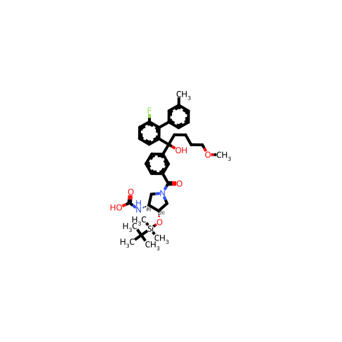 COCCCCC(O)(c1cccc(C(=O)N2C[C@H](O[Si](C)(C)C(C)(C)C)[C@H](NC(=O)O)C2)c1)c1cccc(F)c1-c1cccc(C)c1